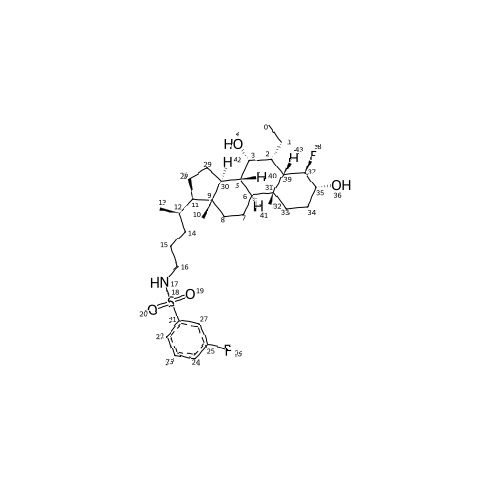 CC[C@H]1[C@@H](O)[C@@H]2[C@H](CC[C@]3(C)[C@@H]([C@H](C)CCCNS(=O)(=O)c4cccc(F)c4)CC[C@@H]23)[C@@]2(C)CC[C@@H](O)[C@H](F)[C@@H]12